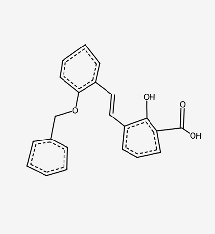 O=C(O)c1cccc(C=Cc2ccccc2OCc2ccccc2)c1O